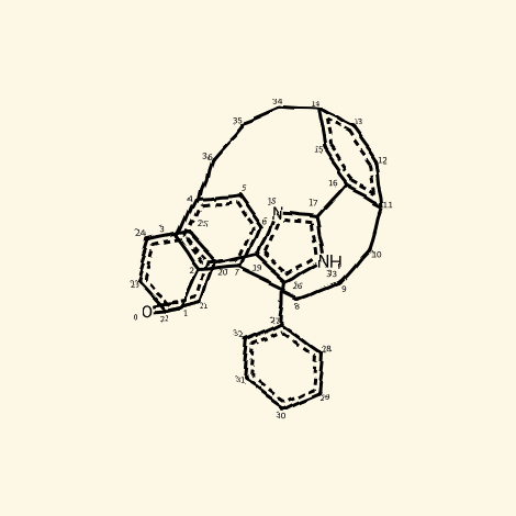 O=Cc1cc2ccc1CCCc1ccc(cc1-c1nc(-c3ccccc3)c(-c3ccccc3)[nH]1)CCC2